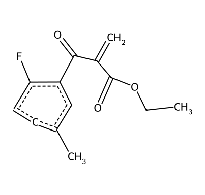 C=C(C(=O)OCC)C(=O)c1cc(C)ccc1F